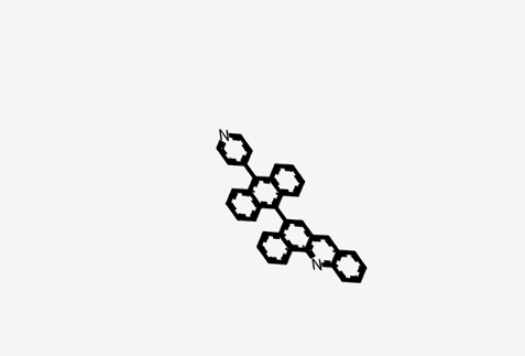 c1ccc2nc3c(cc(-c4c5ccccc5c(-c5ccncc5)c5ccccc45)c4ccccc43)cc2c1